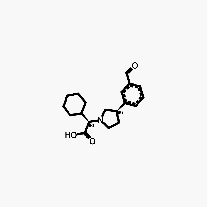 O=Cc1cccc([C@H]2CCN([C@@H](C(=O)O)C3CCCCC3)C2)c1